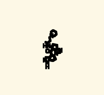 CC(CCN1CCCCC1)Nc1ccc2ncn3c4ccc5[nH]ncc5c4c(=O)c1c23